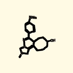 CNc1ccc(C2=NN3CN(C)CC3=C3CCCC(O)CCC23)cc1